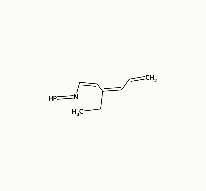 C=C/C=C(\C=C/N=P)CC